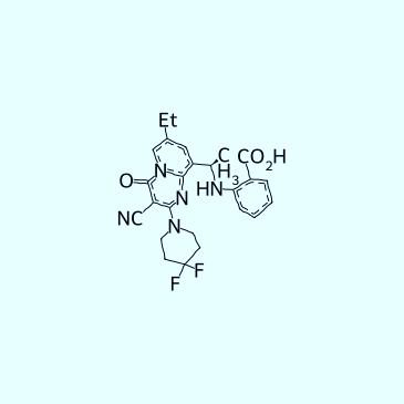 CCc1cc([C@@H](C)Nc2ccccc2C(=O)O)c2nc(N3CCC(F)(F)CC3)c(C#N)c(=O)n2c1